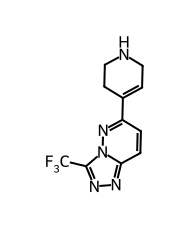 FC(F)(F)c1nnc2ccc(C3=CCNCC3)nn12